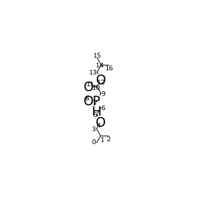 CC(C)COCC[PH](=O)CC(=O)OCC(C)C